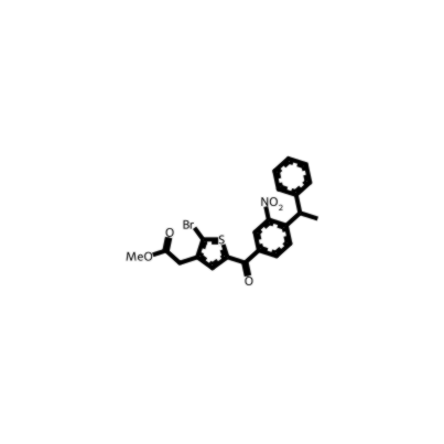 COC(=O)Cc1cc(C(=O)c2ccc(C(C)c3ccccc3)c([N+](=O)[O-])c2)sc1Br